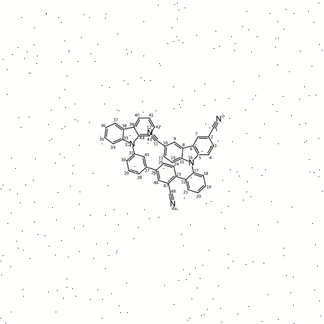 N#Cc1ccc2c(c1)c1cc(C#N)ccc1n2-c1ccccc1-c1ccc(-c2cccc(-n3c4ccccc4c4ccccc43)c2)cc1C#N